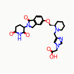 O=C(O)Cn1cnc(CN2CCCC[C@@H]2COc2ccc3c(c2)CN(C2CCC(=O)NC2=O)C3=O)c1